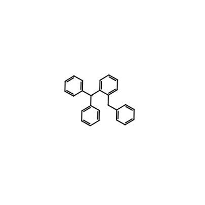 c1ccc(Cc2ccccc2[C](c2ccccc2)c2ccccc2)cc1